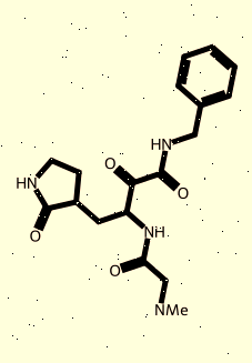 CNCC(=O)NC(CC1CCNC1=O)C(=O)C(=O)NCc1ccccc1